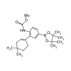 CC1(C)CC=C(c2cc(B3OC(C)(C)C(C)(C)O3)ccc2NC(=O)OC(C)(C)C)CC1